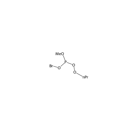 CCCOOP(OC)OBr